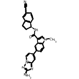 Cn1cc(C(=O)N[C@H]2CCc3cc(C#N)ccc32)c2cc(-c3ccn4nc(N)nc4c3)ccc21